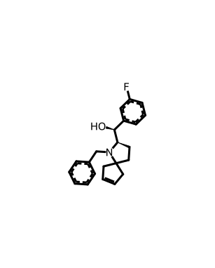 O[C@@H](c1cccc(F)c1)[C@H]1CCC2(CC=CC2)N1Cc1ccccc1